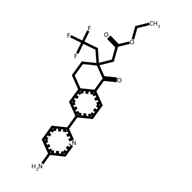 CCOC(=O)CC1(CC(F)(F)F)CCc2cc(-c3ccc(N)cn3)ccc2C1=O